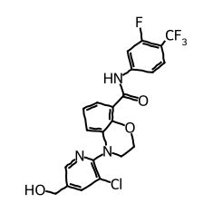 O=C(Nc1ccc(C(F)(F)F)c(F)c1)c1cccc2c1OCCN2c1ncc(CO)cc1Cl